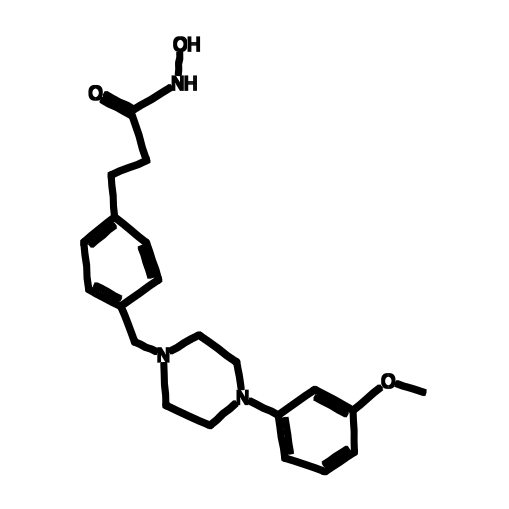 COc1cccc(N2CCN(Cc3ccc(CCC(=O)NO)cc3)CC2)c1